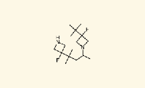 CC(CC(C)(C)C1(F)CNC1)N1CC(F)(C(C)(C)C)C1